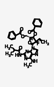 C=C[C@@]1(F)C(OC(=O)c2ccccc2)[C@@H](COC(=O)c2ccccc2)O[C@H]1n1cnc2c(NC)nc(NC(=O)C(C)C)nc21